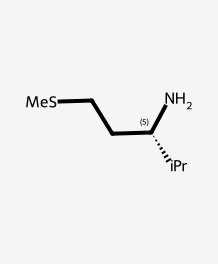 CSCC[C@H](N)C(C)C